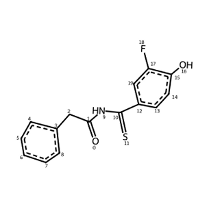 O=C(Cc1ccccc1)NC(=S)c1ccc(O)c(F)c1